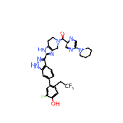 O=C(c1cnc(N2CCCCC2)cn1)N1CCc2[nH]c(-c3n[nH]c4cc(-c5cc(F)c(O)cc5CC(F)(F)F)ccc34)nc2C1